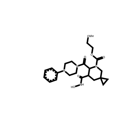 COCCOC(=O)N1CC2(CC2)CC(C(=O)NO)C1C(=O)N1CCN(c2ccccc2)CC1